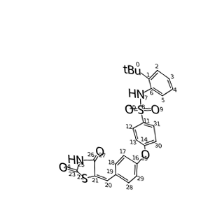 CC(C)(C)c1ccccc1NS(=O)(=O)c1ccc(Oc2ccc(C=C3SC(=O)NC3=O)cc2)cc1